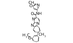 COC1=CCC=CC(C2(C)C=Cc3nc4nc(C(=O)Nc5cncc(OC)c5)ccn4c3C=C2)=C1